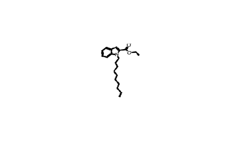 CCCCCCCCCCn1c(C(=O)OCC)cc2ccccc21